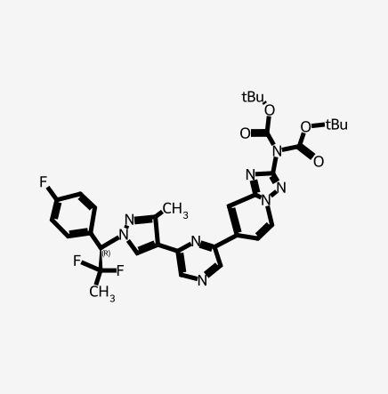 Cc1nn([C@H](c2ccc(F)cc2)C(C)(F)F)cc1-c1cncc(-c2ccn3nc(N(C(=O)OC(C)(C)C)C(=O)OC(C)(C)C)nc3c2)n1